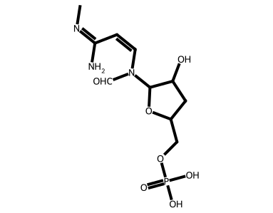 C/N=C(N)\C=C/N(C=O)C1OC(COP(=O)(O)O)CC1O